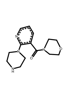 O=C(c1cccnc1N1CCNCC1)N1CCOCC1